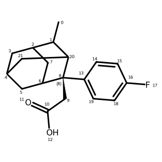 CC1C2CC3CC(C2)[C@@](CC(=O)O)(c2ccc(F)cc2)C1C3